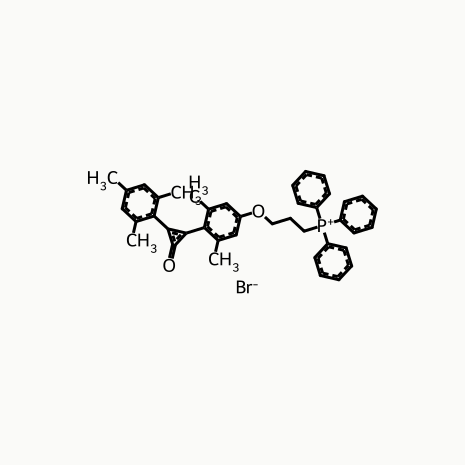 Cc1cc(C)c(-c2c(-c3c(C)cc(OCCC[P+](c4ccccc4)(c4ccccc4)c4ccccc4)cc3C)c2=O)c(C)c1.[Br-]